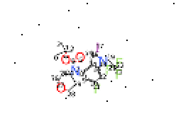 CC(C)(C)OC(=O)N(c1cc(F)cc2c1cc(I)n2CC(F)(F)F)C1CCOCC1